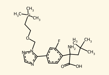 CC(C)(C)CC(N)(C(=O)O)c1ccc(-c2ncnn2COCC[Si](C)(C)C)cc1F